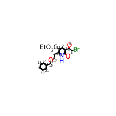 CCOC(=O)c1cc(C(=O)CBr)c(=O)[nH]c1CCOCc1ccccc1